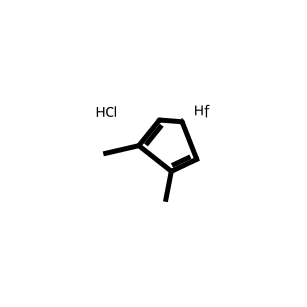 CC1=C[CH]C=C1C.Cl.[Hf]